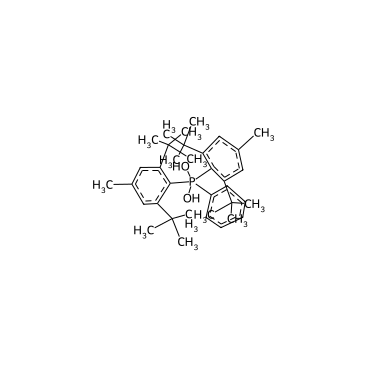 Cc1cc(C(C)(C)C)c(P(O)(O)(c2ccccc2)c2c(C(C)(C)C)cc(C)cc2C(C)(C)C)c(C(C)(C)C)c1